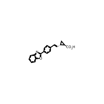 O=C(O)[C@@H]1C[C@H]1/C=C/c1ccc(-c2nc3ccccc3o2)cc1